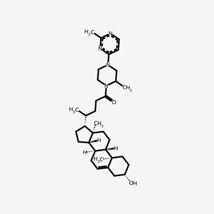 Cc1nccc(N2CCN(C(=O)CCC(C)[C@H]3CC[C@H]4[C@@H]5CC=C6C[C@@H](O)CC[C@]6(C)[C@H]5CC[C@]34C)C(C)C2)n1